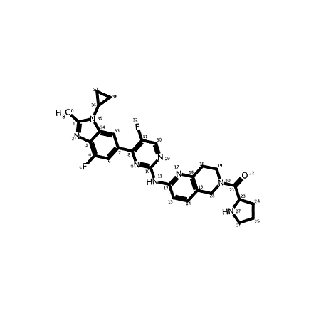 Cc1nc2c(F)cc(-c3nc(Nc4ccc5c(n4)CCN(C(=O)C4CCCN4)C5)ncc3F)cc2n1C1CC1